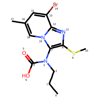 CCCN(C(=O)O)c1c(SC)nc2c(Br)cc(C)cn12